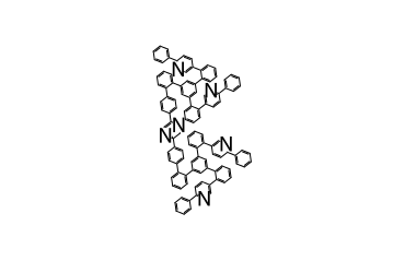 c1ccc(-c2ccc(-c3ccccc3-c3cc(-c4ccccc4-c4ccc(-c5cnc(-c6ccc(-c7ccccc7-c7cc(-c8ccccc8-c8ccc(-c9ccccc9)nc8)cc(-c8ccccc8-c8ccc(-c9ccccc9)nc8)c7)cc6)cn5)cc4)cc(-c4ccccc4-c4ccc(-c5ccccc5)nc4)c3)cn2)cc1